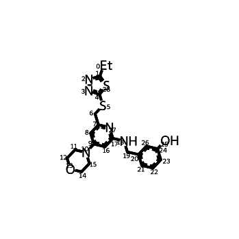 CCc1nnc(SCc2cc(N3CCOCC3)cc(NCc3cccc(O)c3)n2)s1